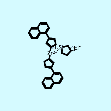 C1=[C]([Zr+2][C]2=CC(c3cccc4ccccc34)=CC2)CC=C1c1cccc2ccccc12.C1CC[SiH2]C1.[Cl-].[Cl-]